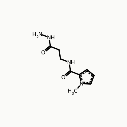 Cn1cccc1C(=O)NCCC(=O)NN